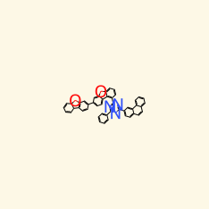 C1=CC2Oc3cc(-c4ccc5c(c4)oc4cccc(-c6nc(-c7ccccc7)nc(-c7ccc8ccc9ccccc9c8c7)n6)c45)ccc3C2C=C1